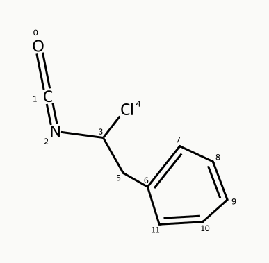 O=C=NC(Cl)Cc1ccccc1